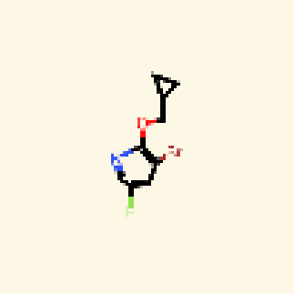 Fc1cnc(OCC2CC2)c(Br)c1